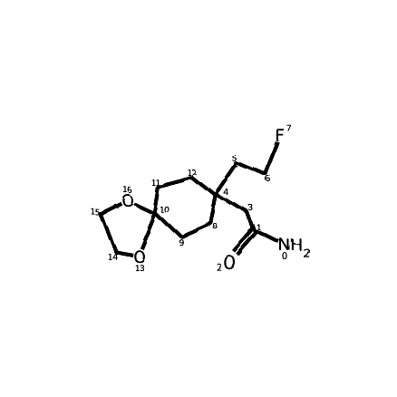 NC(=O)CC1([CH]CF)CCC2(CC1)OCCO2